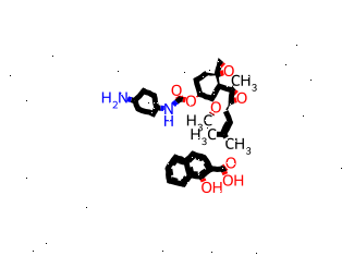 CO[C@@H]1[C@H](OC(=O)NC2CCC(N)CC2)CC[C@]2(CO2)[C@H]1[C@@]1(C)O[C@@H]1CC=C(C)C.O=C(O)c1ccc2ccccc2c1O